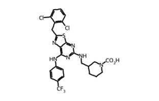 O=C(O)N1CCCC(CNc2nc(Nc3ccc(C(F)(F)F)cc3)c3nc(Cc4c(Cl)cccc4Cl)sc3n2)C1